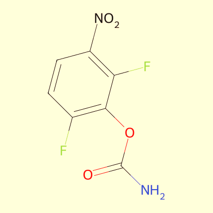 NC(=O)Oc1c(F)ccc([N+](=O)[O-])c1F